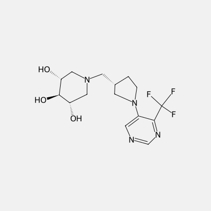 O[C@H]1[C@H](O)CN(C[C@@H]2CCN(c3cncnc3C(F)(F)F)C2)C[C@@H]1O